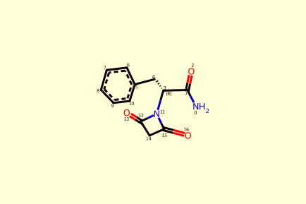 NC(=O)[C@@H](Cc1ccccc1)N1C(=O)CC1=O